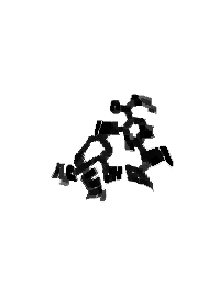 CC1(C)CCC(Nc2nc(NC34CC3C4)ncc2C(N)=O)CC1O